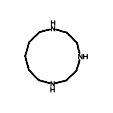 C1CCNCCNCCNCC1